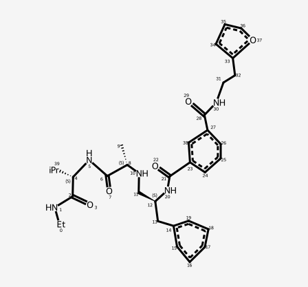 CCNC(=O)[C@@H](NC(=O)[C@H](C)NC[C@H](Cc1ccccc1)NC(=O)c1cccc(C(=O)NCCc2ccco2)c1)C(C)C